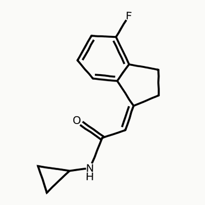 O=C(/C=C1/CCc2c(F)cccc21)NC1CC1